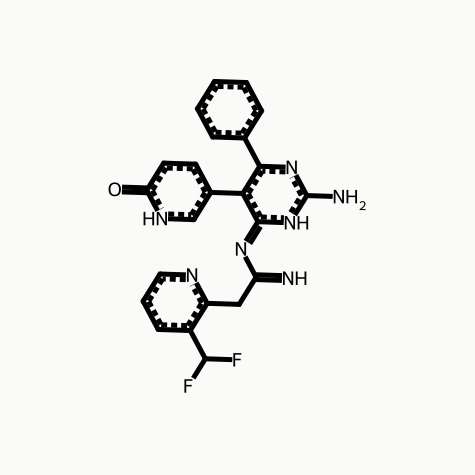 N=C(Cc1ncccc1C(F)F)/N=c1\[nH]c(N)nc(-c2ccccc2)c1-c1ccc(=O)[nH]c1